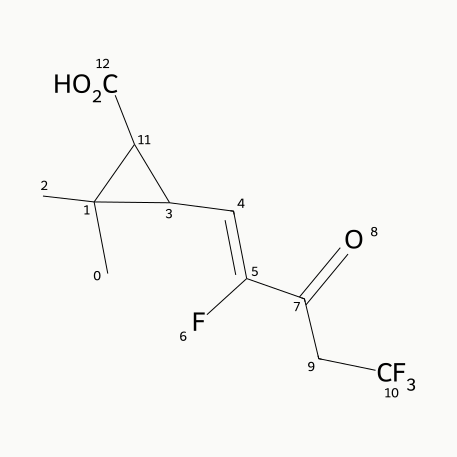 CC1(C)C(C=C(F)C(=O)CC(F)(F)F)C1C(=O)O